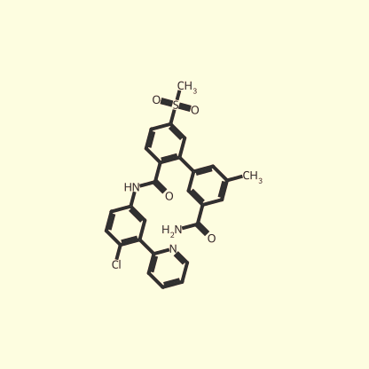 Cc1cc(C(N)=O)cc(-c2cc(S(C)(=O)=O)ccc2C(=O)Nc2ccc(Cl)c(-c3ccccn3)c2)c1